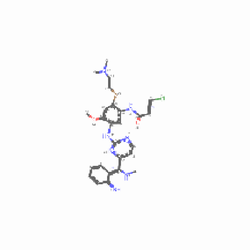 CN/C(=C1/C=CC=CC1=N)c1ccnc(Nc2cc(NC(=O)/C=C/Cl)c(SCCN(C)C)cc2OC)n1